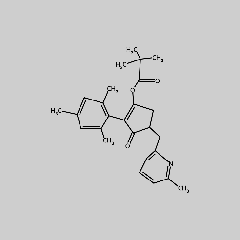 Cc1cc(C)c(C2=C(OC(=O)C(C)(C)C)CC(Cc3cccc(C)n3)C2=O)c(C)c1